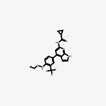 CCSNc1ccc(-c2cc(NC(=O)C3CC3)nc3[nH]ccc23)cc1C(F)(F)F